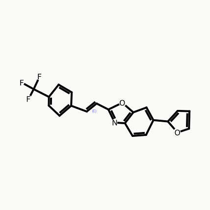 FC(F)(F)c1ccc(/C=C/c2nc3ccc(-c4ccco4)cc3o2)cc1